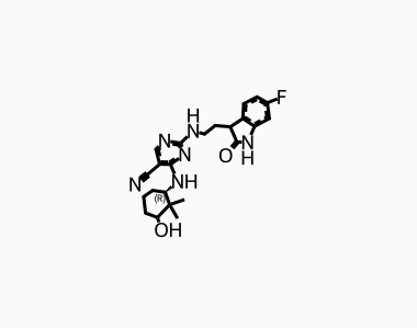 CC1(C)C(O)CCC[C@H]1Nc1nc(NCCC2C(=O)Nc3cc(F)ccc32)ncc1C#N